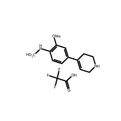 COc1cc(C2=CCNCC2)ccc1NC(=O)O.O=C(O)C(F)(F)F